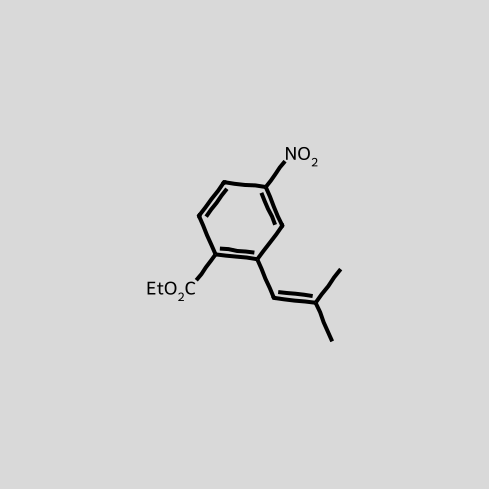 CCOC(=O)c1ccc([N+](=O)[O-])cc1C=C(C)C